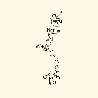 CC(C)n1nc(N2CCC(N3CCN(Cc4ccc(NC5CCC(=O)NC5=O)cc4)CC3)CC2)c2cnc(Nc3ccnc(-c4cnn(S(=O)(=O)C5CC5)c4)n3)cc21